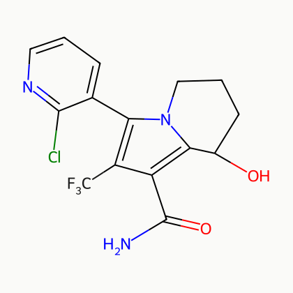 NC(=O)c1c(C(F)(F)F)c(-c2cccnc2Cl)n2c1C(O)CCC2